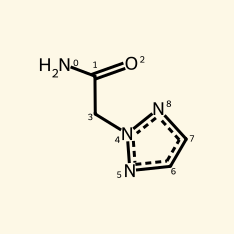 NC(=O)Cn1nccn1